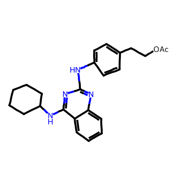 CC(=O)OCCc1ccc(Nc2nc(NC3CCCCC3)c3ccccc3n2)cc1